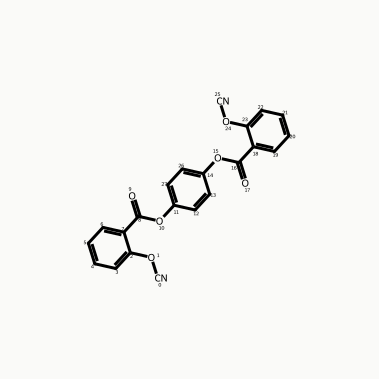 N#COc1ccccc1C(=O)Oc1ccc(OC(=O)c2ccccc2OC#N)cc1